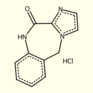 Cl.O=C1Nc2ccccc2Cn2ccnc21